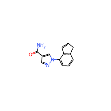 NC(=O)c1cnn(-c2cccc3c2C=CC3)c1